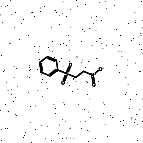 O=[N+]([O-])[CH]CS(=O)(=O)c1ccccc1